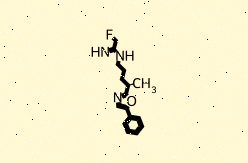 C[C@@H](CCCNC(=N)CF)c1ncc(-c2ccccc2)o1